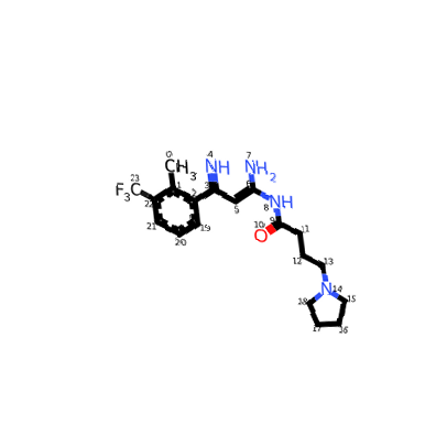 Cc1c(C(=N)/C=C(\N)NC(=O)CCCN2CCCC2)cccc1C(F)(F)F